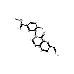 COC(=O)c1ccc(C)c(-n2cnc3ccc(C=O)cc3c2=O)c1